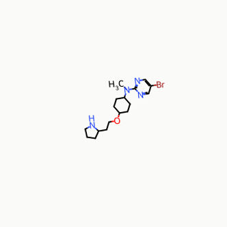 CN(c1ncc(Br)cn1)C1CCC(OCCC2CCCN2)CC1